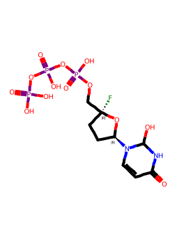 O=C1C=CN([C@H]2CC[C@@](F)(COP(=O)(O)OP(=O)(O)OP(=O)(O)O)O2)C(O)N1